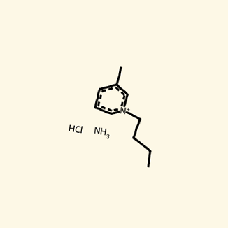 CCCC[n+]1cccc(C)c1.Cl.N